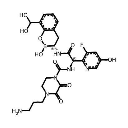 NCCCN1CCN(C(=O)N[C@@H](C(=O)N[C@H]2Cc3cccc(C(O)O)c3OB2O)c2ncc(O)cc2F)C(=O)C1=O